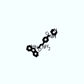 NC(CC(=O)NC1c2ccccc2-c2ccccc21)c1ccc(C(=O)Nc2ccncc2)cc1